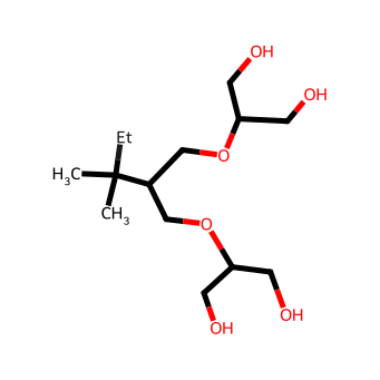 CCC(C)(C)C(COC(CO)CO)COC(CO)CO